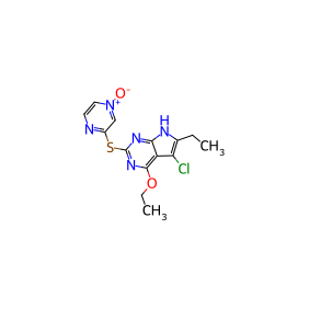 CCOc1nc(Sc2c[n+]([O-])ccn2)nc2[nH]c(CC)c(Cl)c12